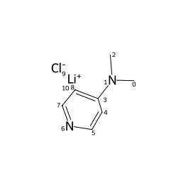 CN(C)c1ccncc1.[Cl-].[Li+]